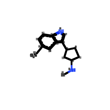 CCNC1CCC(c2c[nH]c3ccc([N+](=O)[O-])cc23)C1